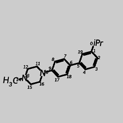 CC(C)c1cccc(-c2ccc(N3CCN(C)CC3)cc2)c1